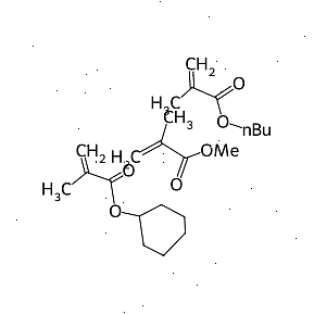 C=C(C)C(=O)OC.C=C(C)C(=O)OC1CCCCC1.C=C(C)C(=O)OCCCC